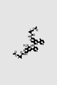 CC(=O)OC[C@@]1(C)C[C@@H]1C(=O)Nc1cc2cc(-c3cnccc3Nc3nc(-c4cnccc4C)cc4cc(NC(=O)[C@@H]5C[C@@]5(C)COC(C)=O)ncc34)nc(N)c2cn1